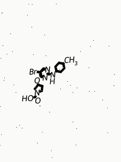 CC1CCC(Nc2ncc(Br)c(OC3CCN(C(=O)O)C3)n2)CC1